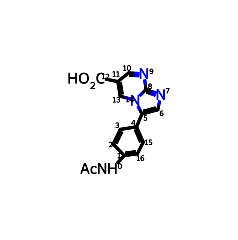 CC(=O)Nc1ccc(-c2cnc3ncc(C(=O)O)cn23)cc1